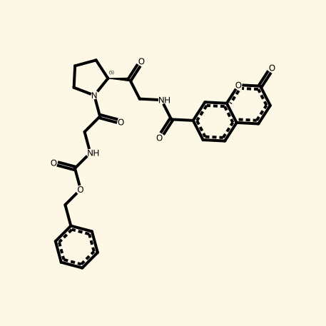 O=C(NCC(=O)N1CCC[C@H]1C(=O)CNC(=O)c1ccc2ccc(=O)oc2c1)OCc1ccccc1